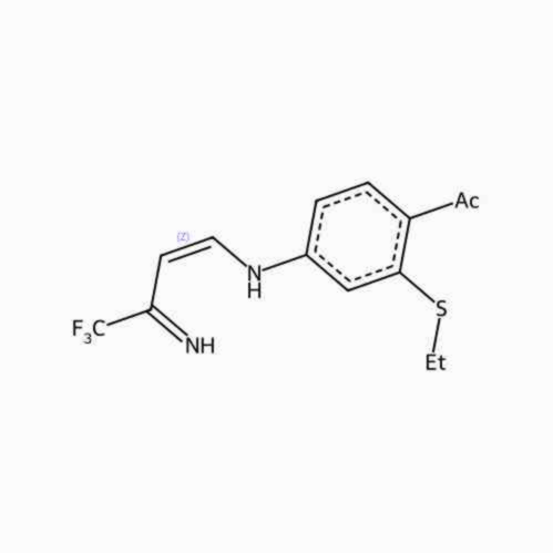 CCSc1cc(N/C=C\C(=N)C(F)(F)F)ccc1C(C)=O